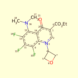 CCOC(=O)c1cn(C2COC2)c2c(F)c(F)c(F)c(N(C)C)c2c1=O